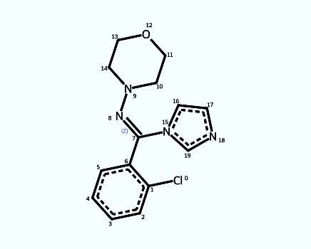 Clc1ccccc1/C(=N/N1CCOCC1)n1ccnc1